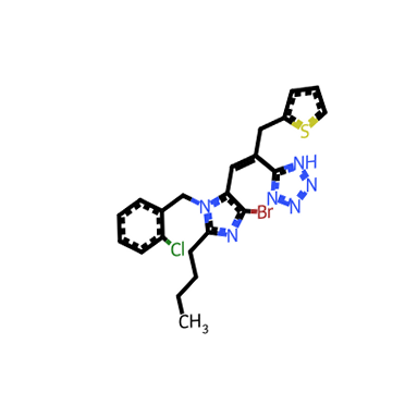 CCCCc1nc(Br)c(/C=C(/Cc2cccs2)c2nnn[nH]2)n1Cc1ccccc1Cl